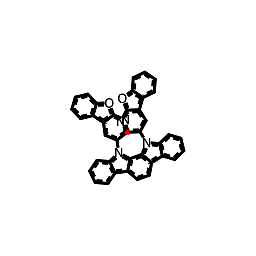 c1ccc2c(c1)oc1ncc(-n3c4ccccc4c4ccc5c6ccccc6n(-c6cnc7oc8ccccc8c7c6)c5c43)cc12